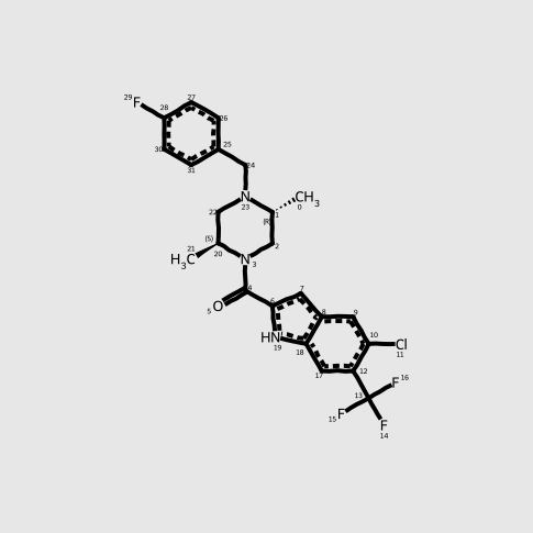 C[C@@H]1CN(C(=O)c2cc3cc(Cl)c(C(F)(F)F)cc3[nH]2)[C@@H](C)CN1Cc1ccc(F)cc1